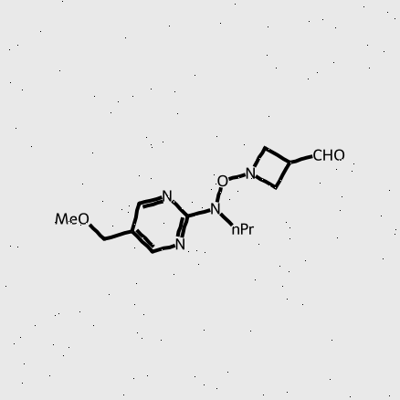 CCCN(ON1CC(C=O)C1)c1ncc(COC)cn1